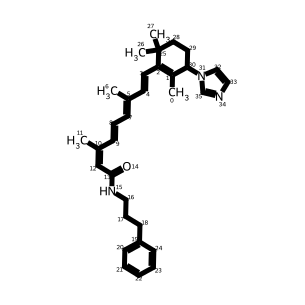 CC1=C(/C=C/C(C)=C/C=C/C(C)=C\C(=O)NCCCc2ccccc2)C(C)(C)CCC1n1ccnc1